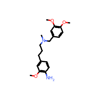 COc1cc(CCCN(C)Cc2ccc(OC)c(OC)c2)ccc1N